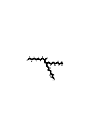 CCCCCCCCC(C)[CH]C(CCCCCCCC)CCCCCCCC